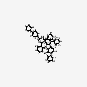 c1ccc(-c2ccc(-c3nc(-c4ccccc4)nc(-c4ccccc4-n4c5cccc(-c6ccccc6)c5c5ccc6c7ccccc7oc6c54)n3)cc2)cc1